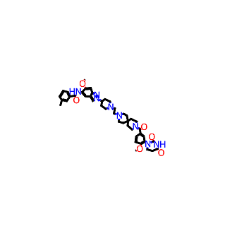 COc1cc2nn(C3CCN(CCN4CCC5(CC4)CCN(C(=O)c4ccc(OC)c(N6CCC(=O)NC6=O)c4)CC5)CC3)cc2cc1NC(=O)c1cccc(C)c1